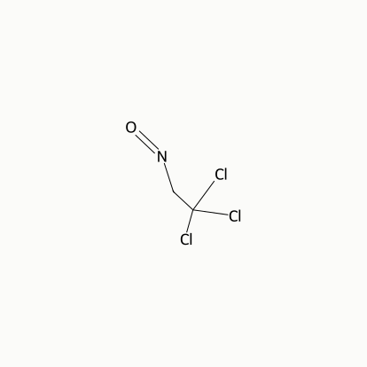 O=NCC(Cl)(Cl)Cl